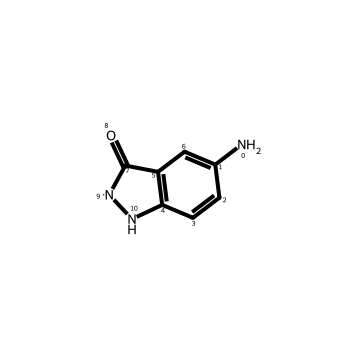 Nc1ccc2c(c1)C(=O)[N]N2